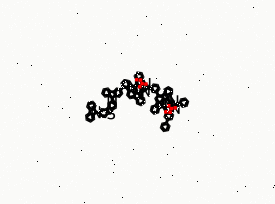 c1ccc(-c2ccc(-c3nc(-c4ccccc4)nc(-n4c5ccccc5c5c(-c6cccc(-c7nc(-c8ccccc8)nc(-n8c9ccccc9c9ccc%10c%11c(-c%12ccc%13c(c%12)c%12ccccc%12n%13-c%12ccc%13sc%14ccc(-n%15c%16ccccc%16c%16ccccc%16%15)cc%14c%13c%12)cccc%11n(-c%11ccccc%11)c%10c98)n7)c6)cc6c7ccccc7n(-c7ccccc7)c6c54)n3)cc2)cc1